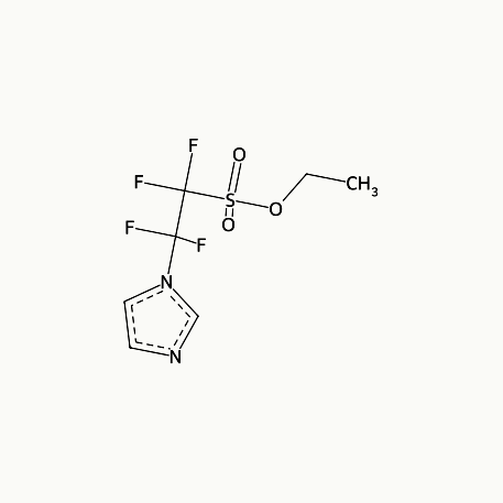 CCOS(=O)(=O)C(F)(F)C(F)(F)n1ccnc1